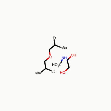 CCCCC(CC)COCC(CC)CCCC.NC(=O)O.OCCO